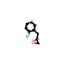 Fc1ccccc1CC1CO1